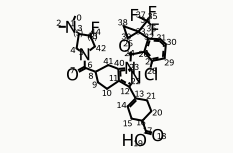 CN(C)[C@H]1CN(C(=O)C2CCc3c(C4=CCC(C(=O)O)CC4)nn(C(=O)c4c(Cl)cccc4C4(C(F)(F)F)CC4)c3C2)C[C@H]1F